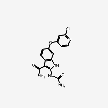 NC(=O)Nc1[nH]c2cc(Oc3ccnc(Cl)c3)ccc2c1C(N)=O